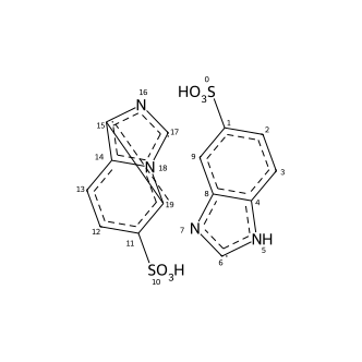 O=S(=O)(O)c1ccc2[nH][c]nc2c1.O=S(=O)(O)c1ccc2c3n[c]n2c13